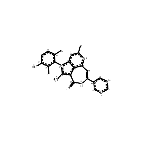 Cc1nc2c3c(c(N)n(-c4c(C)ccc(O)c4C)c3n1)C(=O)NC(c1cncnc1)=C2